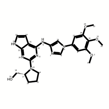 COc1cc(-n2cnc(Nc3nc(N4CCC[C@@H]4CO)nc4[nH]ccc34)c2)cc(OC)c1OC